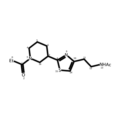 CCC(=O)N1CCCC(c2nc(CCNC(C)=O)cs2)C1